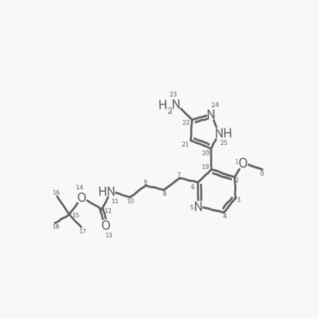 COc1ccnc(CCCCNC(=O)OC(C)(C)C)c1-c1cc(N)n[nH]1